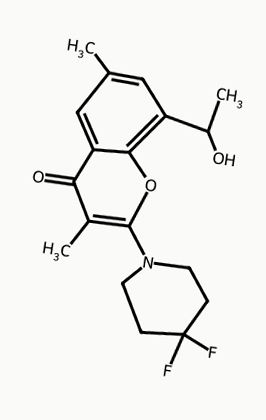 Cc1cc(C(C)O)c2oc(N3CCC(F)(F)CC3)c(C)c(=O)c2c1